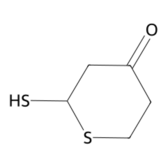 O=C1CCSC(S)C1